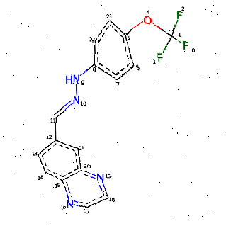 FC(F)(F)Oc1ccc(NN=Cc2ccc3nccnc3c2)cc1